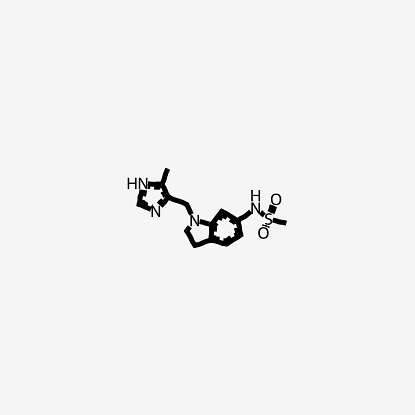 Cc1[nH]cnc1CN1CCc2ccc(NS(C)(=O)=O)cc21